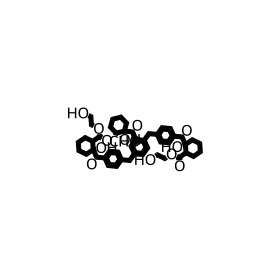 O=CC1CCCCC1(O)C(=O)c1cc(Cc2ccc(C(=O)C3(O)CCCCC3C(=O)OCCO)cc2)ccc1Cc1ccc(C(=O)C2(O)CCCCC2C(=O)OCCO)cc1